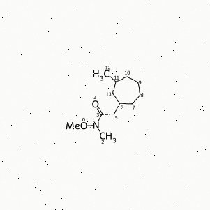 CON(C)C(=O)CC1CCCCC(C)C1